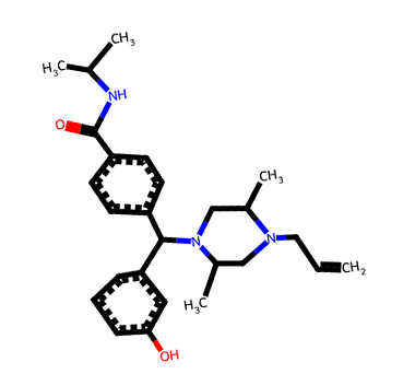 C=CCN1CC(C)N(C(c2ccc(C(=O)NC(C)C)cc2)c2cccc(O)c2)CC1C